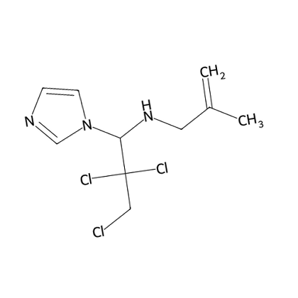 C=C(C)CNC(n1ccnc1)C(Cl)(Cl)CCl